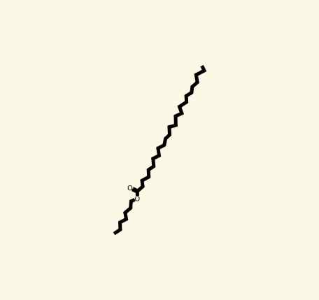 CCCCCCCCCCCCCCCCCCCCCCCCC(=O)OCCCCCCC